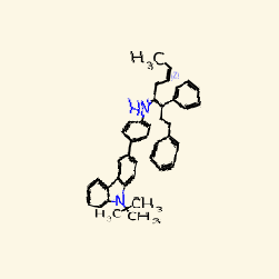 C/C=C\CC(Nc1ccc(-c2ccc3c(c2)c2ccccc2n3C(C)(C)C)cc1)C(CCc1ccccc1)c1ccccc1